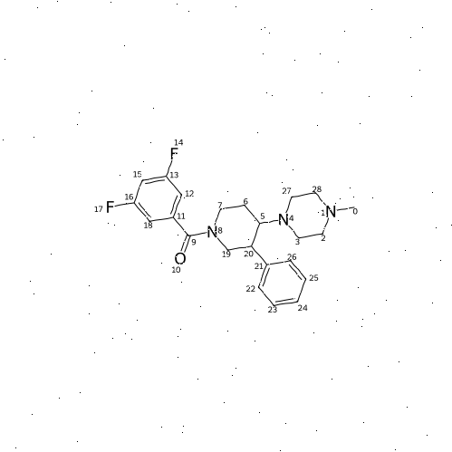 CN1CCN(C2CCN(C(=O)c3cc(F)cc(F)c3)CC2c2ccccc2)CC1